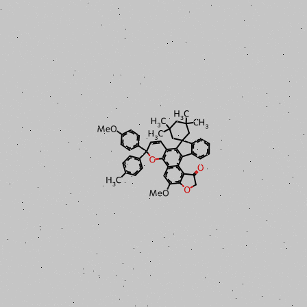 COc1ccc(C2(c3ccc(C)cc3)C=Cc3c4c(c5c6c(c(OC)cc5c3O2)OCC6=O)-c2ccccc2C42CC(C)(C)CC(C)(C)C2)cc1